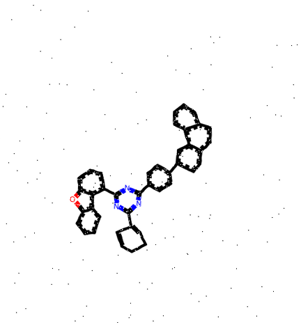 C1=CC(c2nc(-c3ccc(-c4ccc5ccc6ccccc6c5c4)cc3)nc(-c3cccc4oc5ccccc5c34)n2)=CCC1